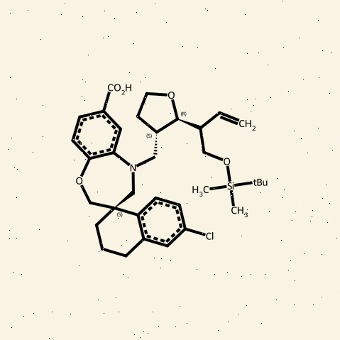 C=CC(CO[Si](C)(C)C(C)(C)C)[C@@H]1OCC[C@H]1CN1C[C@@]2(CCCc3cc(Cl)ccc32)COc2ccc(C(=O)O)cc21